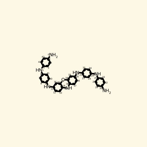 Nc1ccc(Nc2ccc(Nc3ccc4c(c3)Oc3cc(Nc5ccc(Nc6ccc(N)cc6)cc5)ccc3N4)cc2)cc1